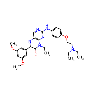 CCN(CC)CCOc1ccc(Nc2ncc3nc(-c4cc(OC)cc(OC)c4)c(=O)n(CC)c3n2)cc1